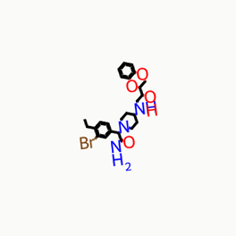 CCc1ccc(C(C(N)=O)N2CCC(NCC(O)C3COc4ccccc4O3)CC2)cc1Br